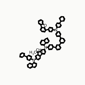 CC1(C)c2cc(N(c3ccc(-c4ccccc4)cc3)c3cccc4ccccc34)ccc2-c2ccc(N(c3ccc(-c4cccc(-c5cccc(-c6ccc(N(c7ccc(-c8cccc9c8oc8ccccc89)cc7)c7ccc(C8C=C=CC=C8)cc7)cc6)c5)c4)cc3)c3cccc4ccccc34)cc21